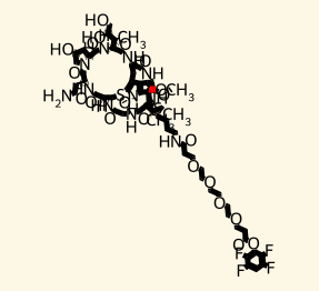 CC[C@H](C)[C@@H]1NC(=O)CNC(=O)[C@@H]2Cc3c([nH]c4c(CSCCCCNC(=O)CCOCCOCCOCCOCCC(=O)Oc5c(F)c(F)cc(F)c5F)c(OC)ccc34)[S+]([O-])C[C@@H](NC(=O)CNC1=O)C(=O)N[C@@H](CC(N)=O)C(=O)N1C[C@H](O)C[C@H]1C(=O)N[C@@H]([C@@H](C)[C@@H](O)CO)C(=O)N2